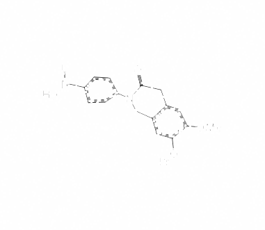 CCN(C)c1ccc(N2Cc3cc(OC(C)C)c(OC)cc3CC2=O)cc1